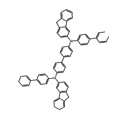 C/C=C\C(=C/C)c1ccc(N(c2ccc(-c3ccc(N(c4ccc(C5=CCCC=C5)cc4)c4ccc5c(c4)C4=CCCC=C4C5)cc3)cc2)c2ccc3c(c2)-c2ccccc2C3)cc1